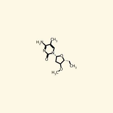 CC[C@H]1O[C@@H](n2cc(C)c(N)nc2=O)CC1OC